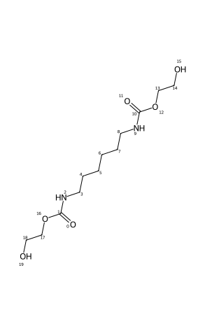 O=C(NCCCCCCNC(=O)OCCO)OCCO